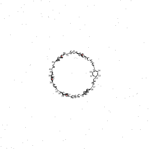 c1cc2ccc1CSCc1ccc(cc1)CSCc1ccc(cc1)CSCc1ccc(cc1)CSCc1ccc(cc1)CSCc1ccc(cc1)CSC2